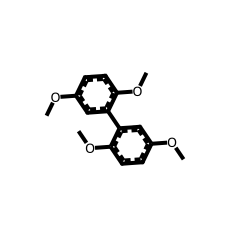 COc1ccc(OC)c(-c2cc(OC)ccc2OC)c1